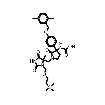 Cc1ccc(C)c(COc2ccc(C3(NC(=O)O)CCN(CC4(C)C(=O)NC(=O)N4COCC[Si](C)(C)C)C3=O)cc2)c1